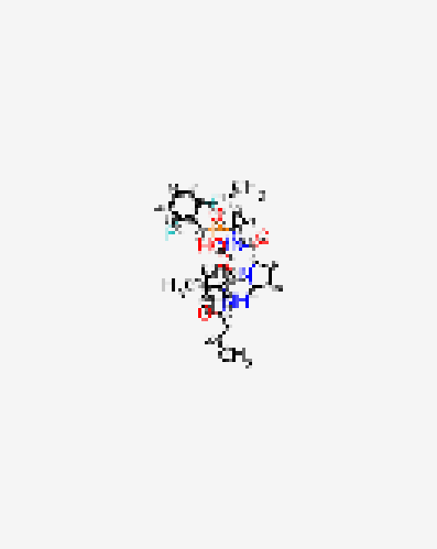 C=C[C@@H]1C[C@]1(NC(=O)[C@@H]1CCCN1C(=O)[C@@H](NC(=O)CCC)C(C)(C)C)P(=O)(O)Cc1c(F)cccc1F